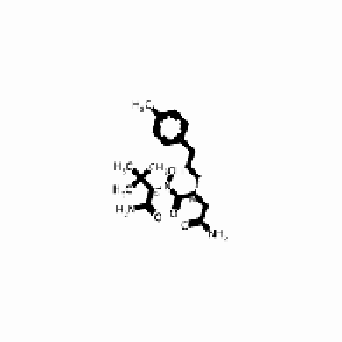 Cc1ccc(CCC[C@H](CC(N)=O)C(=O)N(O)[C@H](C(N)=O)C(C)(C)C)cc1